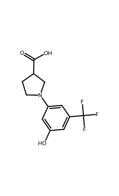 O=C(O)C1CCN(c2cc(O)cc(C(F)(F)F)c2)C1